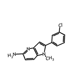 Cn1c(-c2cccc(Cl)c2)cc2nc(N)ccc21